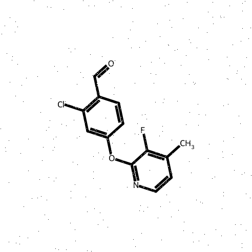 Cc1ccnc(Oc2ccc(C=O)c(Cl)c2)c1F